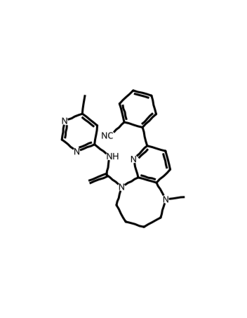 C=C(Nc1cc(C)ncn1)N1CCCCN(C)c2ccc(-c3ccccc3C#N)nc21